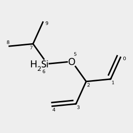 C=CC(C=C)O[SiH2]C(C)C